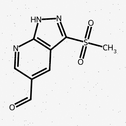 CS(=O)(=O)c1n[nH]c2ncc(C=O)cc12